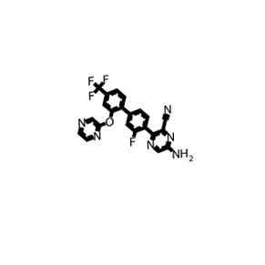 N#Cc1nc(N)cnc1-c1ccc(-c2ccc(C(F)(F)F)cc2Oc2cnccn2)cc1F